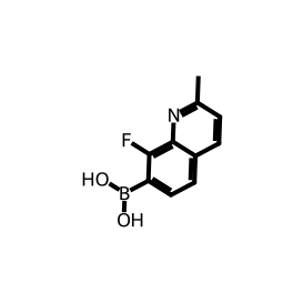 Cc1ccc2ccc(B(O)O)c(F)c2n1